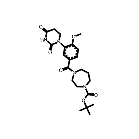 COc1ccc(C(=O)N2CCCN(C(=O)OC(C)(C)C)CC2)cc1N1CCC(=O)NC1=O